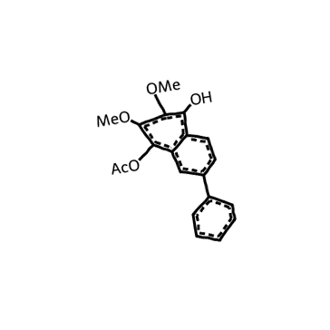 COc1c(OC)c(OC(C)=O)c2cc(-c3ccccc3)ccc2c1O